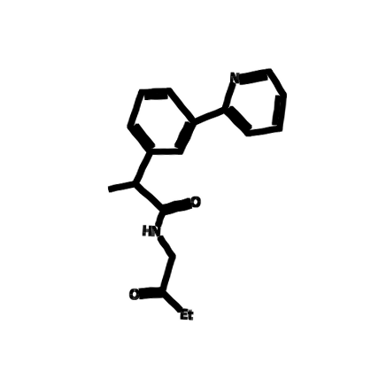 CCC(=O)CNC(=O)C(C)c1cccc(-c2ccccn2)c1